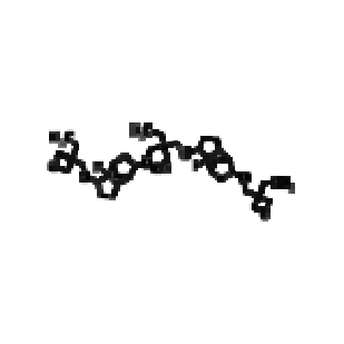 CCC1(COC2CC3CC2C2CCC(OCC(CC)(CO)COC4CC5CC4C4CCC(OCC6(CC)COC6)C54F)C32F)COC1